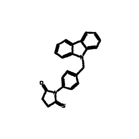 O=C1CCC(=S)N1c1ccc(Cn2c3ccccc3c3ccccc32)cc1